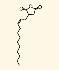 CCCCCCCCC/C=C\CC1CC(=O)OC1=O